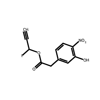 C#CC(I)OC(=O)Cc1ccc([N+](=O)[O-])c(O)c1